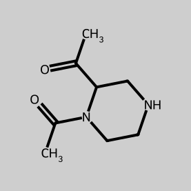 CC(=O)C1CNCCN1C(C)=O